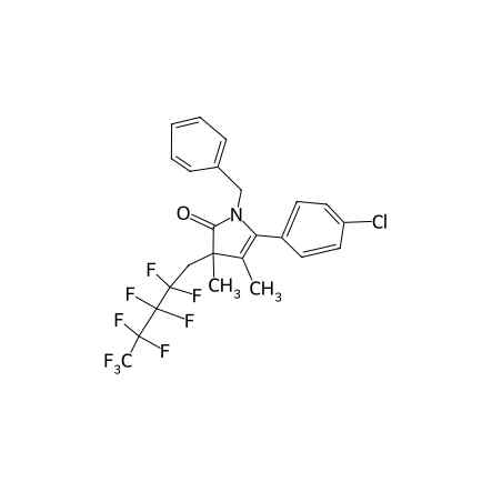 CC1=C(c2ccc(Cl)cc2)N(Cc2ccccc2)C(=O)C1(C)CC(F)(F)C(F)(F)C(F)(F)C(F)(F)F